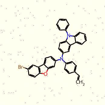 C=Cc1ccc(N(c2ccc3c(c2)oc2ccc(Br)cc23)c2ccc3c(c2)c2ccccc2n3-c2ccccc2)cc1